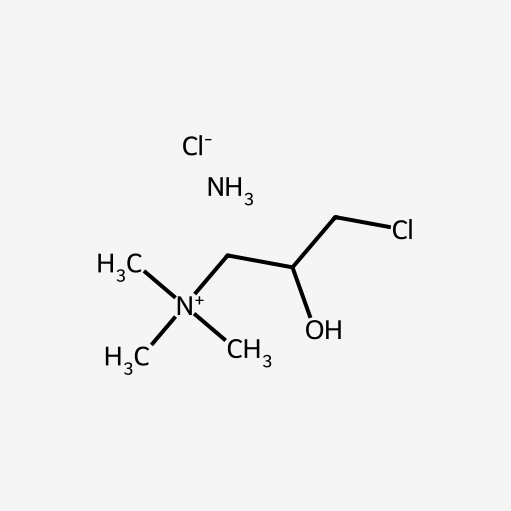 C[N+](C)(C)CC(O)CCl.N.[Cl-]